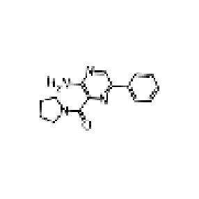 Nc1ncc(-c2ccccc2)nc1C(=O)N1CCCC1